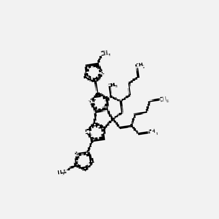 CCCCC(CC)CC1(CC(CC)CCCC)c2cc(-c3ccc(C)s3)sc2-c2sc(-c3ccc(C)s3)cc21